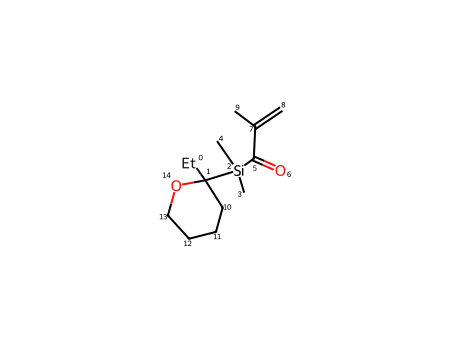 [CH2]CC1([Si](C)(C)C(=O)C(=C)C)CCCCO1